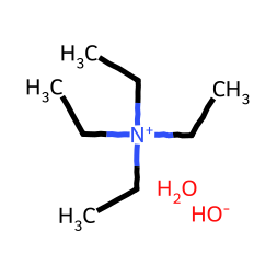 CC[N+](CC)(CC)CC.O.[OH-]